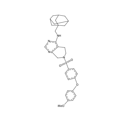 COc1ccc(Oc2ccc(S(=O)(=O)N3CCc4c(ncnc4NCC45CC6CC(CC(C6)C4)C5)C3)cc2)cc1